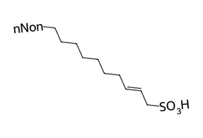 CCCCCCCCCCCCCCCCC=CCS(=O)(=O)O